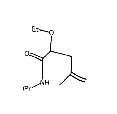 C=C(C)CC(OCC)C(=O)NC(C)C